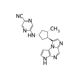 C[C@H]1C[C@@H](Nc2cnc(C#N)cn2)C[C@@H]1c1cnc2cnc3[nH]ccc3n12